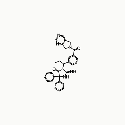 CCC(c1cccc(C(=O)N2Cc3cncnc3C2)c1)N1C(=N)NC(c2ccccc2)(c2ccccc2)C1=O